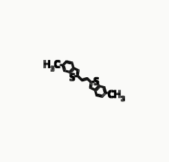 Cc1ccc2cc(/C=C/c3cc4ccc(C)cc4s3)sc2c1